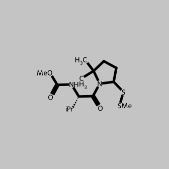 COC(=O)N[C@H](C(=O)N1C(SSC)CCC1(C)C)C(C)C